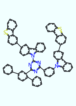 c1ccc(-c2ccc(-c3ccccc3)c(-c3nc(-c4cccc(-n5c6ccccc6c6cc(-c7ccc8sc9ccccc9c8c7)ccc65)c4)nc(-n4c5ccccc5c5cc(-c6ccc7sc8ccccc8c7c6)ccc54)n3)c2)cc1